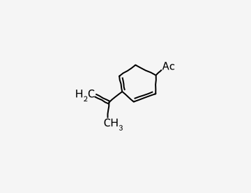 C=C(C)C1=CCC(C(C)=O)C=C1